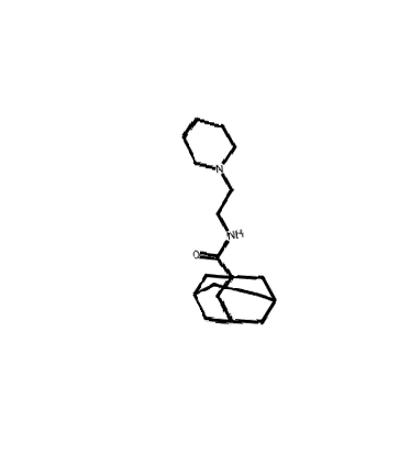 O=C(NCCN1CCCCC1)C12CC3CC(CC(C3)C1)C2